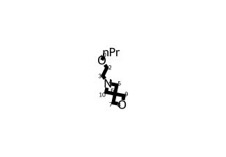 CCCOCCN1CC2(COC2)C1